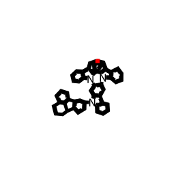 C1=Cc2cccc3c2C(C1)c1ccc(-n2c4ccccc4c4cc(-n5c6ccccc6c6ccccc65)c(-n5c6ccccc6c6ccccc65)cc42)cc1-3